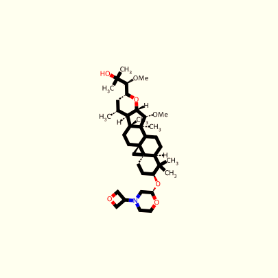 CO[C@@H]([C@H]1C[C@@H](C)[C@H]2[C@H](O1)[C@H](OC)[C@@]1(C)C3CC[C@H]4C(C)(C)[C@@H](O[C@H]5CN(C6COC6)CCO5)CC[C@@]45C[C@@]35CC[C@]21C)C(C)(C)O